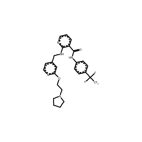 O=C(Nc1ccc(C(F)(F)C(F)(F)F)cc1)c1cccnc1NCc1ccnc(OCCN2CCCC2)c1